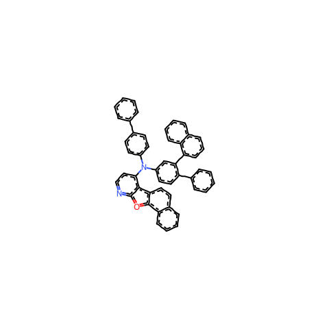 c1ccc(-c2ccc(N(c3ccc(-c4ccccc4)c(-c4cccc5ccccc45)c3)c3ccnc4oc5c6ccccc6ccc5c34)cc2)cc1